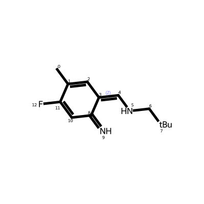 CC1=C/C(=C/NCC(C)(C)C)C(=N)C=C1F